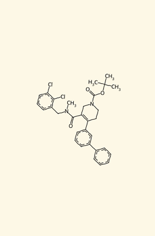 CN(Cc1cccc(Cl)c1Cl)C(=O)C1=C(c2cccc(-c3ccccc3)c2)CCN(C(=O)OC(C)(C)C)C1